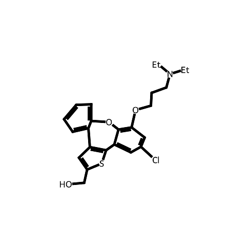 CCN(CC)CCCOc1cc(Cl)cc2c1Oc1ccccc1-c1cc(CO)sc1-2